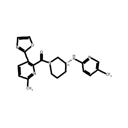 Cc1ccc(-c2ncco2)c(C(=O)N2CCC[C@@H](Nc3ccc(C(F)(F)F)cn3)C2)n1